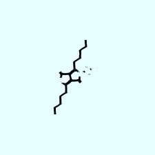 CCCCCC1=C2C(=O)N(S(=O)(=O)O)C(CCCCC)=C2C(=O)N1